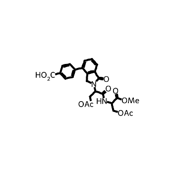 COC(=O)C(COC(C)=O)NC(=O)C(COC(C)=O)N1Cc2c(cccc2-c2ccc(C(=O)O)cc2)C1=O